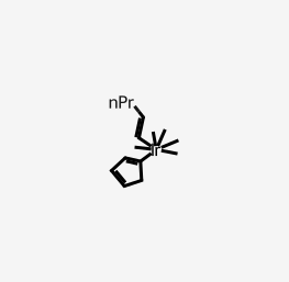 CCCC=[CH][Ir]([CH3])([CH3])([CH3])([CH3])([CH3])[C]1=CC=CC1